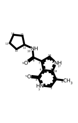 Cc1c[nH]c(=O)c2c(C(=O)NC3CCCC3)c[nH]c12